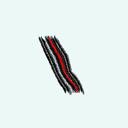 [SiH3][SiH2][SiH2][SiH2][SiH2][SiH2][SiH2][SiH2][SiH2][SiH2][SiH2][SiH2][SiH2][SiH2][SiH2][SiH2][SiH2][SiH2][SiH2][SiH2][SiH2][SiH2][SiH2][SiH2][SiH2][SiH2][SiH2][SiH2][SiH2][SiH2][SiH2][SiH2][SiH2][SiH2][SiH2][SiH2][SiH2][SiH2][SiH2][SiH2][SiH2][SiH2][SiH2][SiH2][SiH2][SiH2][SiH2][SiH2][SiH2][SiH2][SiH2][SiH2][SiH2][SiH2][SiH2][SiH2][SiH2][SiH2][SiH2][SiH2][SiH2][SiH2][SiH2][SiH2][SiH2][SiH2][SiH2][SiH2][SiH2][SiH2][SiH2][SiH2][SiH2][SiH2][SiH2][SiH2][SiH2][SiH2][SiH2][SiH2][SiH2][SiH2][SiH2][SiH2][SiH2][SiH2][SiH2][SiH2][SiH2][SiH2][SiH2][SiH2][SiH2][SiH2][SiH2][SiH3]